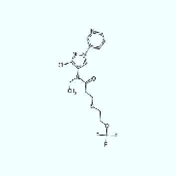 CCN(C(=O)CCSCCOC(F)(F)F)c1cn(-c2cccnc2)nc1Cl